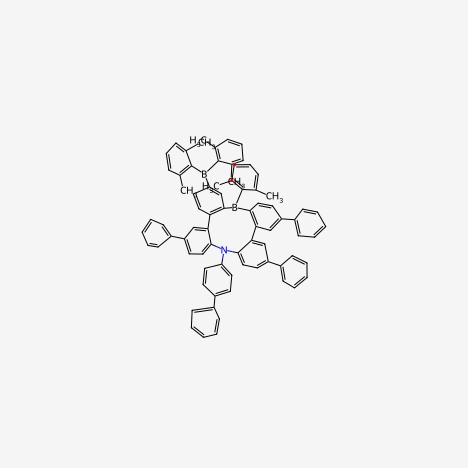 Cc1cccc(C)c1B1c2cc(B(c3c(C)cccc3C)c3c(C)cccc3C)ccc2-c2cc(-c3ccccc3)ccc2N(c2ccc(-c3ccccc3)cc2)c2ccc(-c3ccccc3)cc2-c2cc(-c3ccccc3)ccc21